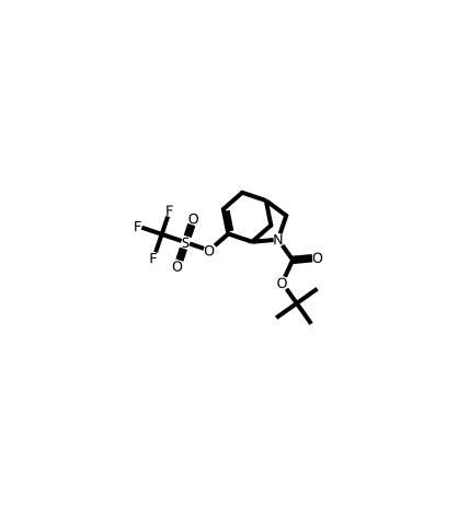 CC(C)(C)OC(=O)N1CC2CC=C(OS(=O)(=O)C(F)(F)F)C1C2